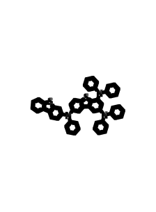 c1ccc(N(c2ccc3c(c2)sc2ccccc23)c2ccc3sc4c(N(c5ccccc5)c5ccccc5)cc(N(c5ccccc5)c5ccccc5)cc4c3c2)cc1